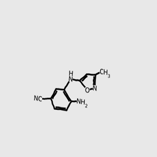 Cc1cc(Nc2cc(C#N)ccc2N)on1